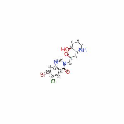 O=C(C[C@H]1NCCC[C@@H]1O)Cn1cnc2cc(Br)c(Cl)cc2c1=O